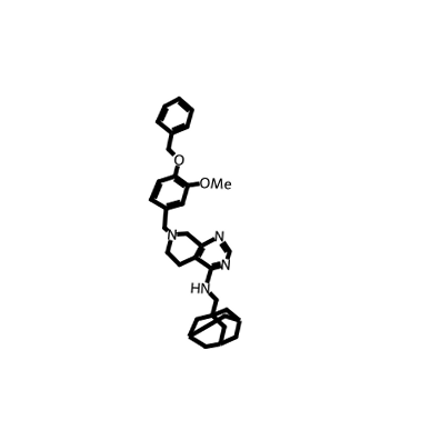 COc1cc(CN2CCc3c(ncnc3NCC34CC5CC(CC(C5)C3)C4)C2)ccc1OCc1ccccc1